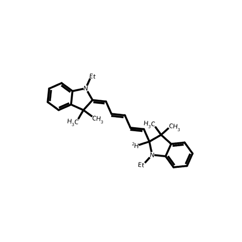 [2H]C1(/C=C/C=C/C=C2/N(CC)c3ccccc3C2(C)C)N(CC)c2ccccc2C1(C)C